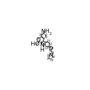 Nc1ccc(-c2c(C(=O)O)[nH]c3cc(OCCN4CCCC4)ccc23)cc1